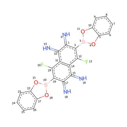 N=c1c(B2Oc3ccccc3O2)c(F)c2c(=N)c(=N)c(B3Oc4ccccc4O3)c(F)c=2c1=N